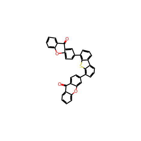 O=c1c2ccccc2oc2cc(-c3cccc4c3sc3c(-c5ccc6oc7ccccc7c(=O)c6c5)cccc34)ccc12